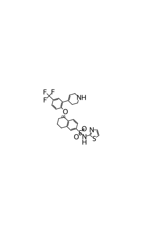 O=S(=O)(Nc1nccs1)c1ccc2c(c1)CCC[C@@H]2Oc1ccc(C(F)(F)F)cc1C1=CCNCC1